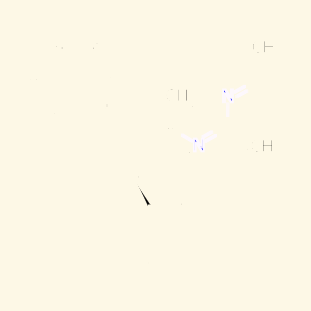 C=C(/N=C(C)\N=C\C)C1[C@@H](c2ccccc2)C[C@@H]1c1ccccc1